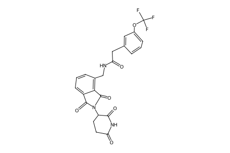 O=C(Cc1cccc(OC(F)(F)F)c1)NCc1cccc2c1C(=O)N(C1CCC(=O)NC1=O)C2=O